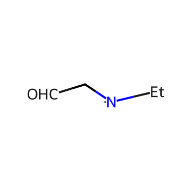 CC[N]CC=O